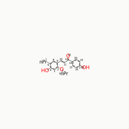 CCCOc1cc(O)c(CCC)cc1/C=C/C(=O)c1ccc(O)cc1